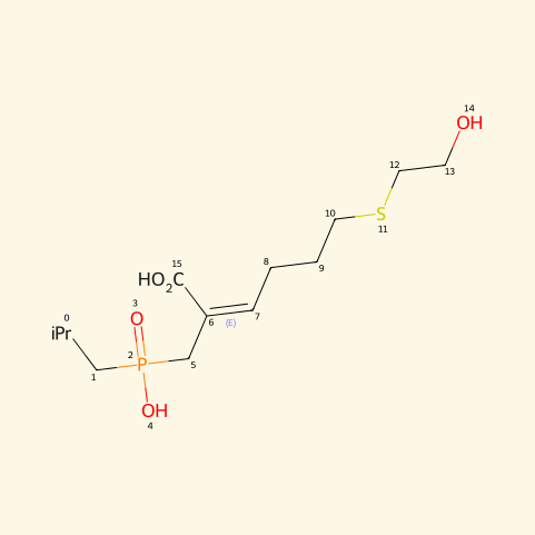 CC(C)CP(=O)(O)C/C(=C/CCCSCCO)C(=O)O